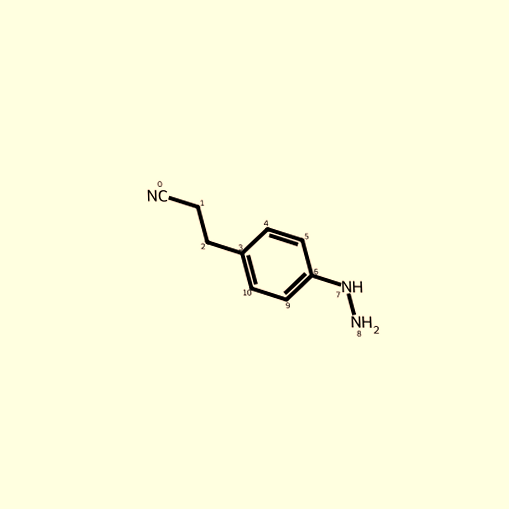 N#CCCc1ccc(NN)cc1